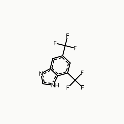 FC(F)(F)c1cc(C(F)(F)F)c2[nH]cnc2c1